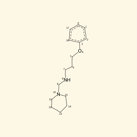 c1ccc(OCCCNCN2CCCCC2)cc1